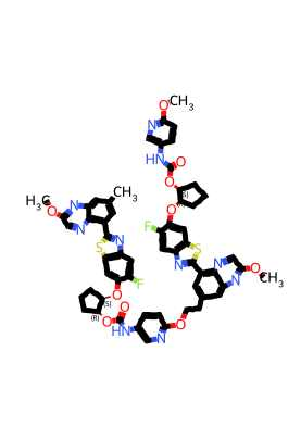 COc1ccc(NC(=O)O[C@H]2CCC[C@H]2Oc2cc3sc(-c4cc(CCOc5ccc(NC(=O)O[C@@H]6CCC[C@@H]6Oc6cc7sc(-c8cc(C)cc9nc(OC)cnc89)nc7cc6F)cn5)cc5nc(OC)cnc45)nc3cc2F)cn1